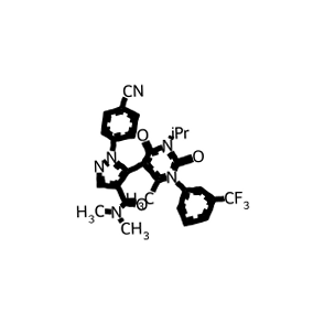 Cc1c(-c2c(C(=O)N(C)C)cnn2-c2ccc(C#N)cc2)c(=O)n(C(C)C)c(=O)n1-c1cccc(C(F)(F)F)c1